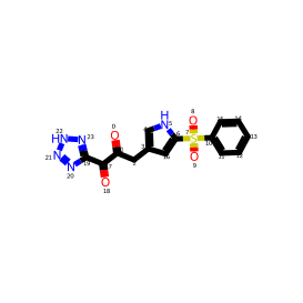 O=C(Cc1c[nH]c(S(=O)(=O)c2ccccc2)c1)C(=O)c1nn[nH]n1